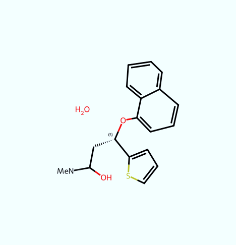 CNC(O)C[C@H](Oc1cccc2ccccc12)c1cccs1.O